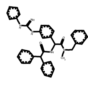 CN(Cc1ccccc1)C(=O)C(NC(=O)C(c1ccccc1)c1ccccc1)c1cccc(NC(=N)Nc2ccccc2)c1